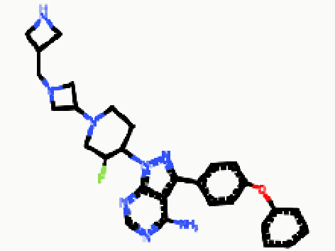 Nc1ncnc2c1c(-c1ccc(Oc3ccccc3)cc1)nn2C1CCN(C2CN(CC3CNC3)C2)C[C@@H]1F